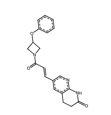 O=C1CCc2cc(C=CC(=O)N3CC(Oc4ccccc4)C3)cnc2N1